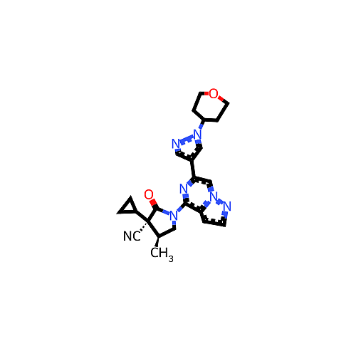 C[C@@H]1CN(c2nc(-c3cnn(C4CCOCC4)c3)cn3nccc23)C(=O)[C@]1(C#N)C1CC1